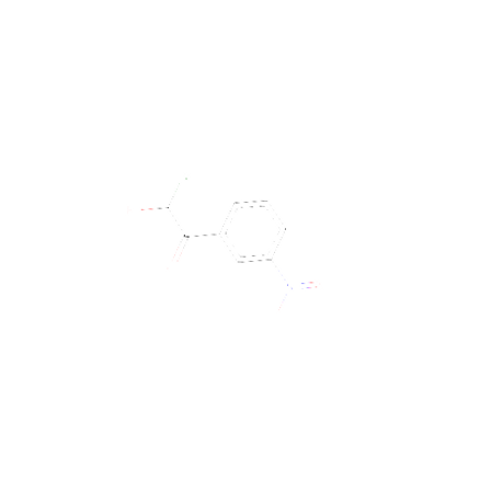 O=C(c1cccc([N+](=O)[O-])c1)C(O)Br